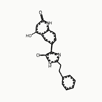 O=c1cc(O)c2cc(-c3nc(CCc4ccccc4)[nH]c3Cl)ccc2[nH]1